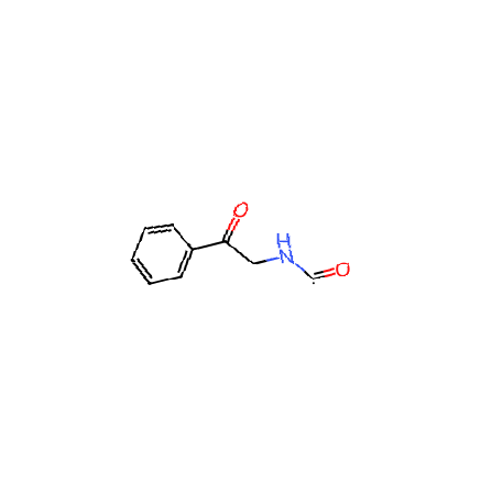 O=[C]NCC(=O)c1ccccc1